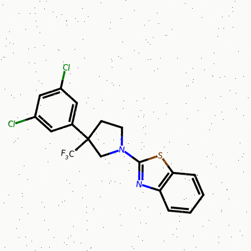 FC(F)(F)C1(c2cc(Cl)cc(Cl)c2)CCN(c2nc3ccc[c]c3s2)C1